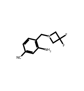 N#Cc1ccc(CN2CC(F)(F)C2)c(N)c1